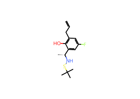 C=CCc1cc(F)cc([C@@H](C)NSC(C)(C)C)c1O